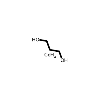 OCCCO.[GeH4]